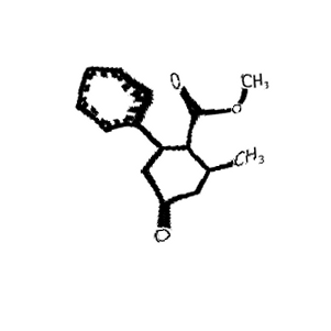 COC(=O)C1C(C)CC(=O)CC1c1ccccc1